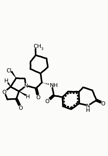 CC1CCC([C@H](NC(=O)c2ccc3c(c2)CCC(=O)N3)C(=O)N2C[C@H](Cl)[C@H]3OCC(=O)[C@H]32)CC1